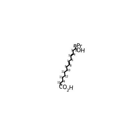 CCCC(O)CC=CCC=CCCCCCCCC(=O)O